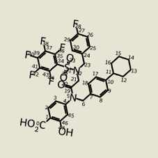 O=C(O)c1ccc(N(Cc2ccc(C3CCCCC3)cc2)C(=O)CN(Cc2ccc(F)cc2)S(=O)(=O)c2c(F)c(F)c(F)c(F)c2F)cc1O